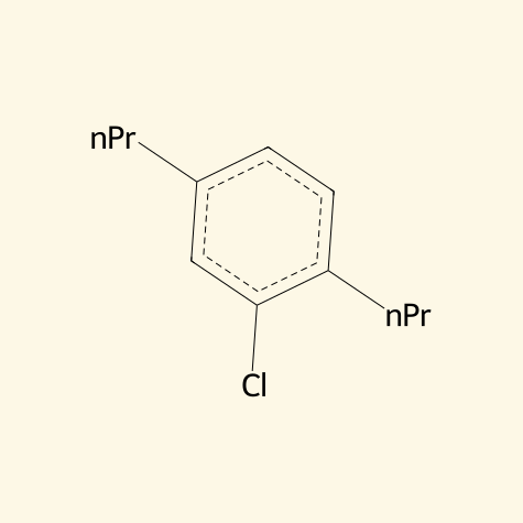 CCCc1ccc(CCC)c(Cl)c1